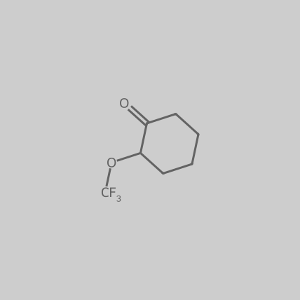 O=C1CCCCC1OC(F)(F)F